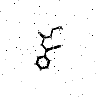 CCO[PH](=O)CC(=C=O)c1ccccc1